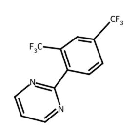 FC(F)(F)c1ccc(-c2ncccn2)c(C(F)(F)F)c1